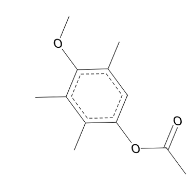 COc1c(C)cc(OC(C)=O)c(C)c1C